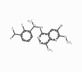 COc1nc2c(C)nnc(N[C@H](C)c3cccc(C(F)F)c3F)c2cc1Br